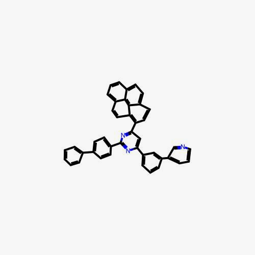 c1ccc(-c2ccc(-c3nc(-c4cccc(-c5cccnc5)c4)cc(-c4ccc5ccc6cccc7ccc4c5c67)n3)cc2)cc1